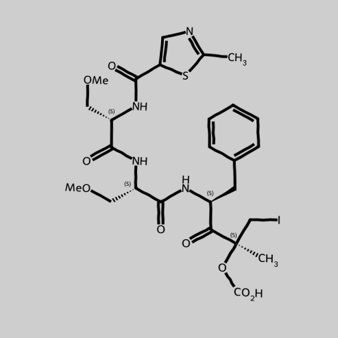 COC[C@H](NC(=O)c1cnc(C)s1)C(=O)N[C@@H](COC)C(=O)N[C@@H](Cc1ccccc1)C(=O)[C@@](C)(CI)OC(=O)O